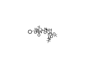 CC(C)(C)OC(=O)N[C@@H](CO[Si](C)(C)C(C)(C)C)c1nnc([C@@H]2CC3(CC3)[C@H]3CN2C(=O)N3OCc2ccccc2)o1